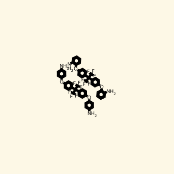 Nc1ccc(Oc2ccc(C(c3ccc(Oc4ccc(N)cc4)cc3)(C(F)(F)F)C(F)(F)F)cc2)cc1.Nc1ccccc1Oc1ccc(C(c2ccc(Oc3ccccc3N)cc2)(C(F)(F)F)C(F)(F)F)cc1